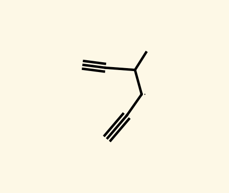 C#C[CH]C(C)C#C